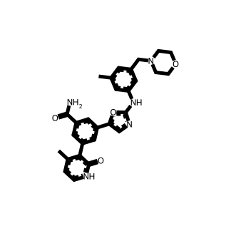 Cc1cc(CN2CCOCC2)cc(Nc2ncc(-c3cc(C(N)=O)cc(-c4c(C)cc[nH]c4=O)c3)o2)c1